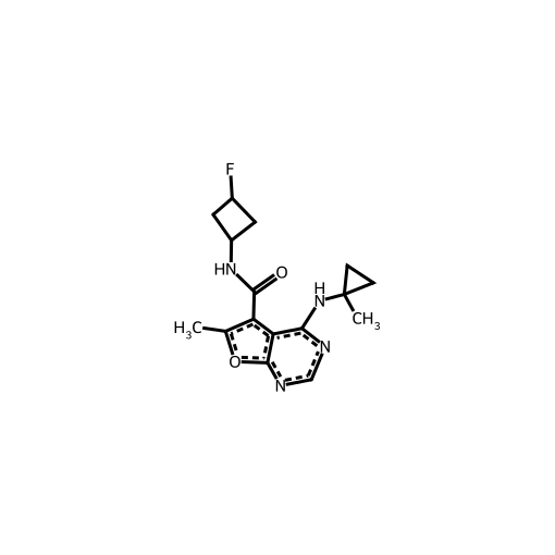 Cc1oc2ncnc(NC3(C)CC3)c2c1C(=O)NC1CC(F)C1